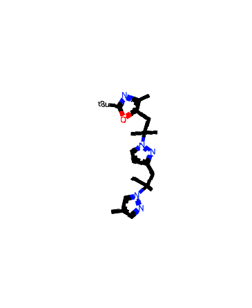 Cc1cnn(C(C)(C)Cc2ccn(C(C)(C)Cc3oc(C(C)(C)C)nc3C)n2)c1